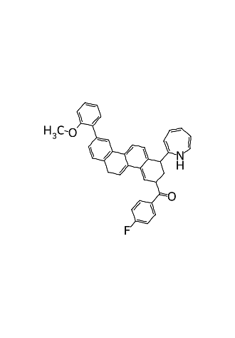 COc1ccccc1-c1ccc2c(c1)-c1ccc3c(c1=CC2)=CC(C(=O)c1ccc(F)cc1)CC3C1=CC=CC=CN1